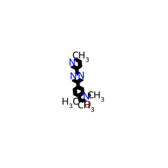 Cc1ccc(-c2ncc(-c3ccc4c(c3)N(C)C(=O)C4(C)C)cn2)cn1